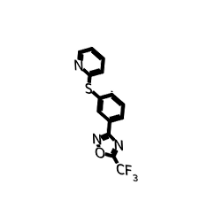 FC(F)(F)c1nc(-c2cc[c]c(Sc3ccccn3)c2)no1